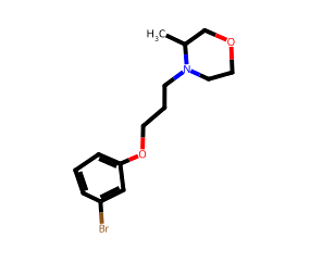 CC1COCCN1CCCOc1cccc(Br)c1